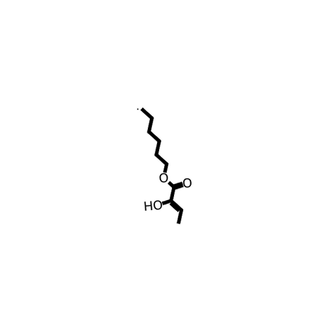 [CH2]CCCCCOC(=O)C(O)=CC